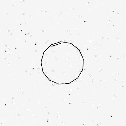 [CH]1CCCC=CCCCCCCC1